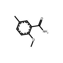 COc1ccc(C)cc1C(N)=O